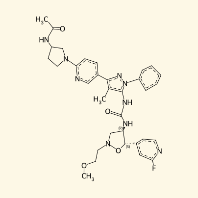 COCCN1C[C@@H](NC(=O)Nc2c(C)c(-c3ccc(N4CCC(NC(C)=O)C4)nc3)nn2-c2ccccc2)[C@H](c2ccnc(F)c2)O1